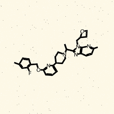 Cc1ccc(COc2cccc(C3CCN(C(C)c4nc5ccc(C)nc5n4CC4CCO4)CC3)n2)c(F)c1